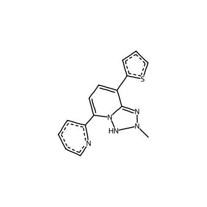 CN1N=C2C(c3cccs3)=CC=C(c3ccccn3)N2N1